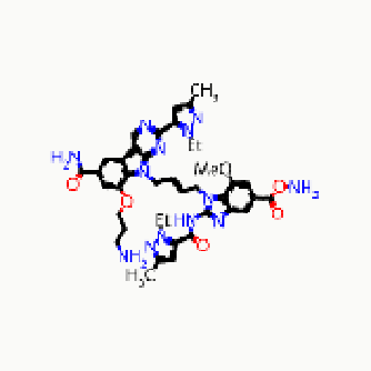 CCn1nc(C)cc1C(=O)Nc1nc2cc(C(=O)ON)cc(OC)c2n1C/C=C/Cn1c2nc(-c3cc(C)nn3CC)ncc2c2cc(C(N)=O)cc(OCCCN)c21